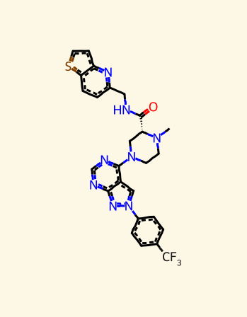 CN1CCN(c2ncnc3nn(-c4ccc(C(F)(F)F)cc4)cc23)C[C@@H]1C(=O)NCc1ccc2sccc2n1